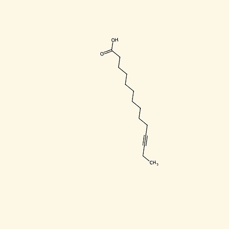 CCC#CCCCCCCCCCC(=O)O